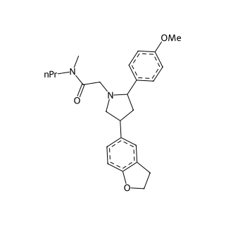 CCCN(C)C(=O)CN1CC(c2ccc3c(c2)CCO3)CC1c1ccc(OC)cc1